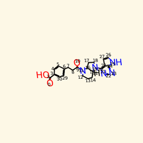 O=C(O)c1ccc(CCC(=O)N2CCC[C@@H]3C2CCN3c2ncnc3[nH]ccc23)cc1